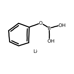 OB(O)Oc1ccccc1.[Li]